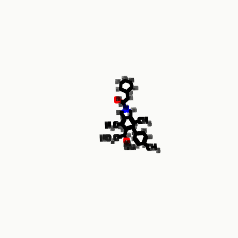 Cc1ccc(-c2c(C)c3c(c(C)c2C(OC(C)(C)C)C(=O)O)CN(C(=O)CC2CCCCC2)C3)cc1